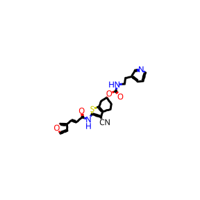 N#Cc1c(NC(=O)C=Cc2ccoc2)sc2c1CCC(OC(=O)NCCc1cccnc1)C2